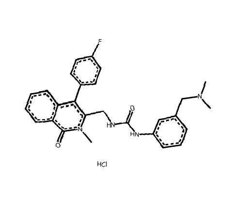 CN(C)Cc1cccc(NC(=O)NCc2c(-c3ccc(F)cc3)c3ccccc3c(=O)n2C)c1.Cl